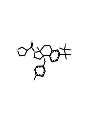 CC(F)(c1ccc2c(c1)CC[C@H]1N(C(=O)C3CCOC3)CC[C@@]21Cc1ccc(F)cc1)C(F)(F)F